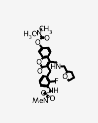 CNS(=O)(=O)Nc1cccc(Cc2c(CNCC3CCCO3)c3ccc(OC(=O)N(C)C)cc3oc2=O)c1F